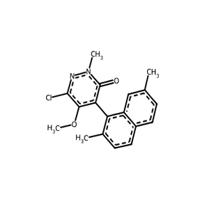 COc1c(Cl)nn(C)c(=O)c1-c1c(C)ccc2ccc(C)cc12